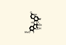 COc1ccc(C(NC2=CC(F)=CC3NC(=O)C=CC23)C(O)(CO)C(F)(F)F)c(Cl)c1F